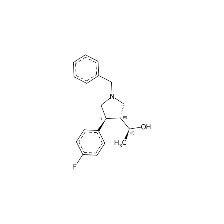 C[C@H](O)[C@H]1CN(Cc2ccccc2)C[C@@H]1c1ccc(F)cc1